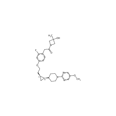 COc1cnc(N2CCC([C@H]3C[C@H]3CCOc3ccc(CC(=O)N4CC(C)(O)C4)c(F)c3)CC2)nc1